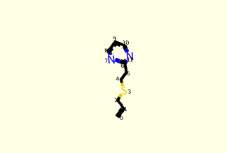 C=CCSCCc1ncccn1